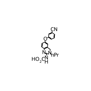 CCCN1Cc2cc(Oc3cccc(C#N)c3)ccc2N=C1NC(=O)O